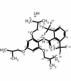 CC(C)COc1cc(OCC(C)C)c(PC(=O)c2c(C(F)(F)F)cccc2C(F)(F)F)c(OCC(C)C)c1.[LiH]